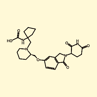 O=C(O)NC1(CN2CCCC[C@@H]2COc2ccc3c(c2)CN(C2CCC(=O)NC2=O)C3=O)CCCC1